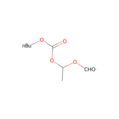 CCCCOC(=O)OC(C)O[C]=O